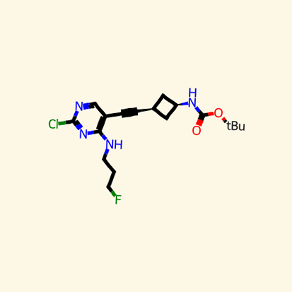 CC(C)(C)OC(=O)N[C@H]1C[C@@H](C#Cc2cnc(Cl)nc2NCCCF)C1